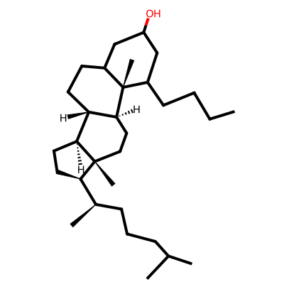 CCCCC1CC(O)CC2CC[C@@H]3[C@H](CC[C@]4(C)[C@@H]([C@H](C)CCCC(C)C)CC[C@@H]34)[C@@]12C